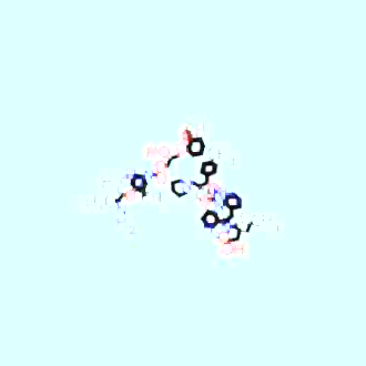 CC(C)C[C@H](CN)CC(=O)O.COc1ccccc1OCC(O)COC(N)=O.Cc1ccc(C(=O)C(C)CN2CCCCC2)cc1.Cc1cccc(C)c1OCC(C)N.NC(=O)N1c2ccccc2C=Cc2ccccc21